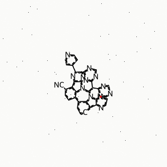 N#Cc1ccc2c3cccc4c5nccnc5n(c(=C(c5ncncn5)c5ncncn5)n5c6ncc(-c7ccncc7)nc6c1c25)c34